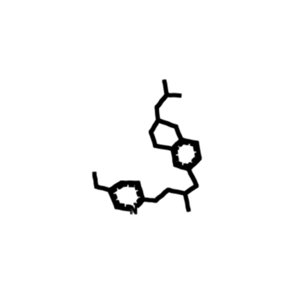 CCc1ccc(CCC(C)Cc2ccc3c(c2)CCC(CC(C)C)C3)nc1